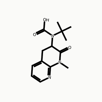 CN1C(=O)C(N(C(=O)O)C(C)(C)C)Cc2cccnc21